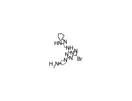 N[C@@H]1CCN(c2nc(NCc3nc4ccccc4[nH]3)n3ncc(Br)c3n2)C1